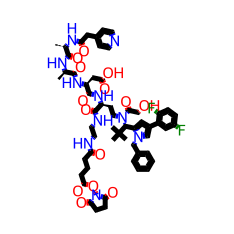 C[C@H](NC(=O)Cc1ccncc1)C(=O)N[C@H](C)C(=O)N[C@@H](CC(=O)O)C(=O)N[C@@H](CCN(C(=O)CO)[C@@H](c1cc(-c2cc(F)ccc2F)cn1Cc1ccccc1)C(C)(C)C)C(=O)NCCNC(=O)CCCC(=O)ON1C(=O)CCC1=O